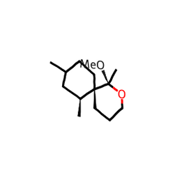 CO[C@@]1(C)OCCC[C@@]12CCC(C)C[C@@H]2C